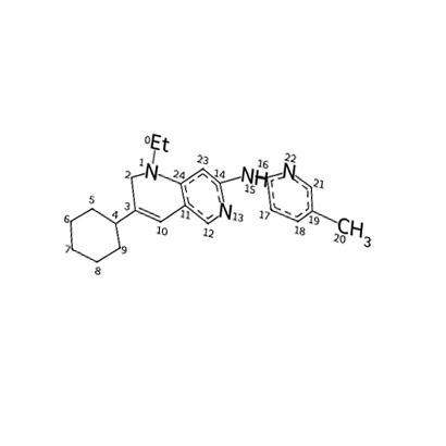 CCN1CC(C2CCCCC2)=Cc2cnc(Nc3ccc(C)cn3)cc21